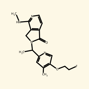 CNc1nccc2c1CN(C(C)c1cc(C)c(OCCF)cn1)C2=O